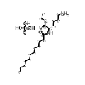 CCCCCCCCCCCC(=O)N[C@@H](CCCCN)C(=O)OCC.O=P(O)(O)O